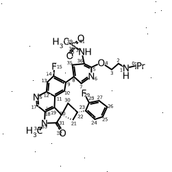 CC(C)NCCOc1ncc(-c2cc3c(cc2F)ncc2c3[C@]3(C[C@@H](c4ccccc4F)C3)C(=O)N2C)cc1NS(C)(=O)=O